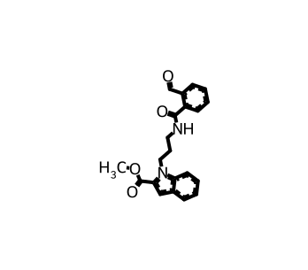 COC(=O)c1cc2ccccc2n1CCCNC(=O)c1ccccc1C=O